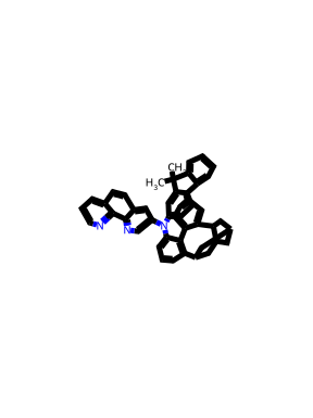 CC1(C)c2ccccc2-c2ccc(N(c3cnc4c(ccc5cccnc54)c3)c3cccc4c3-c3ccccc3C3CC5CC4CC3C5)cc21